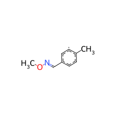 CON=Cc1c[c]c(C)cc1